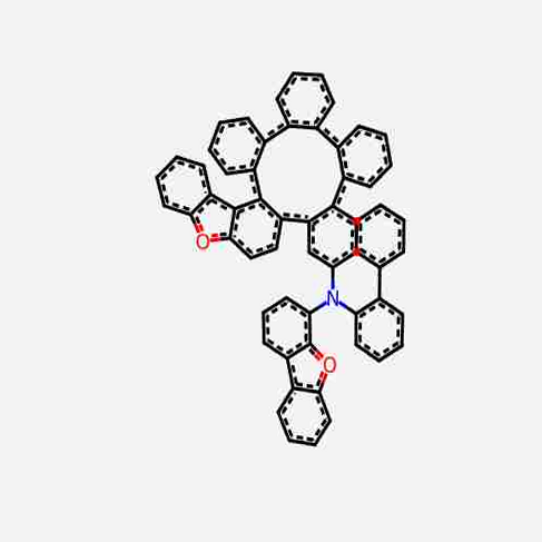 c1ccc(-c2ccccc2N(c2ccc3c4ccccc4c4ccccc4c4ccccc4c4c(ccc5oc6ccccc6c54)c3c2)c2cccc3c2oc2ccccc23)cc1